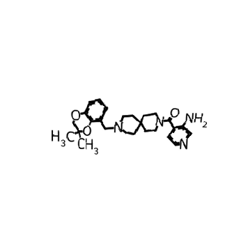 CC1(C)COc2cccc(CN3CCC4(CC3)CCN(C(=O)c3ccncc3N)CC4)c2O1